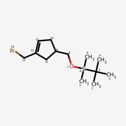 CC(C)(C)[Si](C)(C)OCC1CC=C(CBr)C1